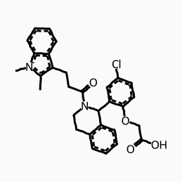 Cc1c(CCC(=O)N2CCc3ccccc3C2c2cc(Cl)ccc2OCC(=O)O)c2ccccc2n1C